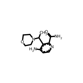 CC(c1c(N)ccnc1C(N)=O)N1CCOCC1